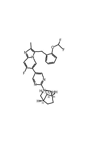 Cc1nc2cc(F)c(-c3cnc(N4C[C@H]5CC[C@@H](C4)[C@@H]5C(=O)O)nc3)cn2c1Cc1ccccc1OC(F)F